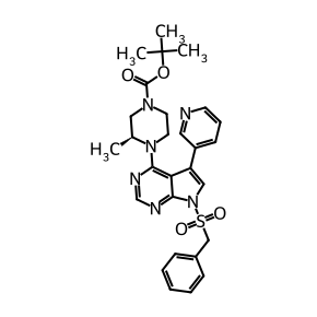 C[C@H]1CN(C(=O)OC(C)(C)C)CCN1c1ncnc2c1c(-c1cccnc1)cn2S(=O)(=O)Cc1ccccc1